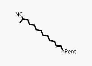 [CH2]C(C#N)CCCCCCCCCC=CCCCCC